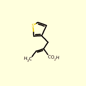 CC=C(Cc1ccsc1)C(=O)O